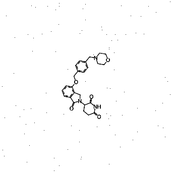 O=C1CCC(N2Cc3c(OCc4ccc(CN5CCOCC5)cc4)cccc3C2=O)C(=O)N1